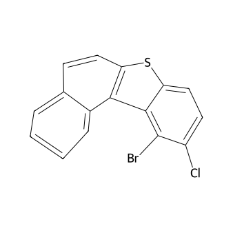 Clc1ccc2sc3ccc4ccccc4c3c2c1Br